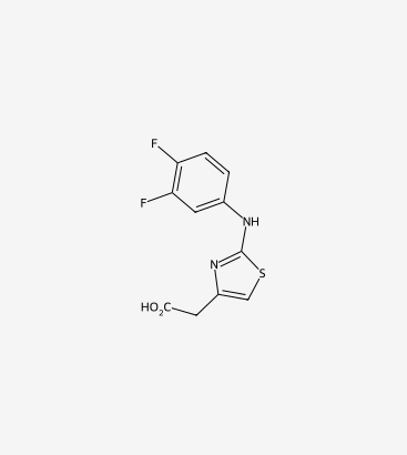 O=C(O)Cc1csc(Nc2ccc(F)c(F)c2)n1